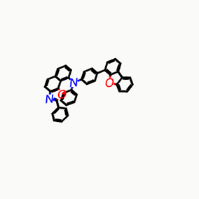 c1ccc(-c2nc3ccc4cccc(N(c5ccccc5)c5ccc(-c6cccc7c6oc6ccccc67)cc5)c4c3o2)cc1